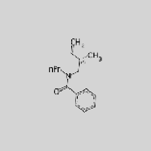 C=C[C@H](C)CN(CCC)C(=O)c1ccccc1